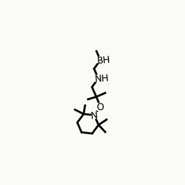 CBCNCC(C)(C)ON1C(C)(C)CCCC1(C)C